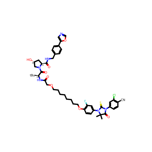 CC(C)(C)[C@H](NC(=O)COCCCCCCCCOc1ccc(N2C(=S)N(c3ccc(C#N)c(Cl)c3)C(=O)C2(C)C)cc1F)C(=O)N1C[C@H](O)C[C@H]1C(=O)NCc1ccc(-c2cnco2)cc1